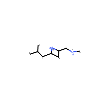 CNCC1CC(CC(C)C)N1